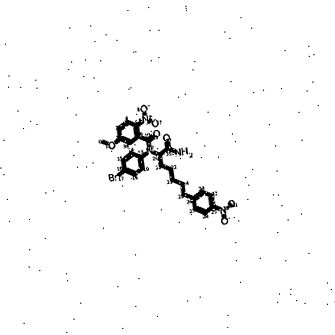 COc1ccc([N+](=O)[O-])c(C(=O)N(c2ccc(Br)cc2)C(CCCCCc2ccc([N+](=O)[O-])cc2)C(N)=O)c1